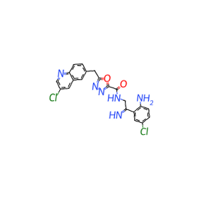 N=C(CNC(=O)c1nnc(Cc2ccc3ncc(Cl)cc3c2)o1)c1cc(Cl)ccc1N